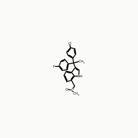 C[S+]([O-])Cc1cccc2c(C(C)(c3ccc(F)cc3)c3ccc(Cl)cc3)c[nH]c12